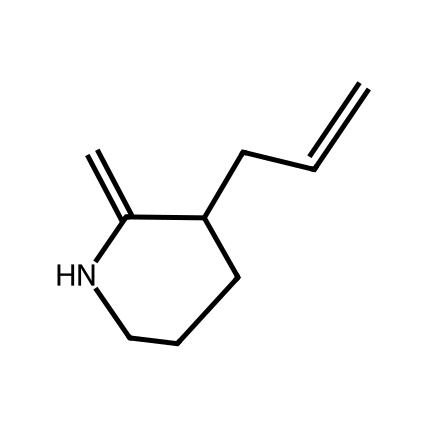 C=CCC1CCCNC1=C